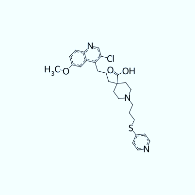 COc1ccc2ncc(Cl)c(CCCC3(C(=O)O)CCN(CCCSc4ccncc4)CC3)c2c1